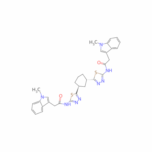 Cn1cc(CC(=O)Nc2nnc([C@H]3CCC[C@H](c4nnc(NC(=O)Cc5cn(C)c6ccccc56)s4)C3)s2)c2ccccc21